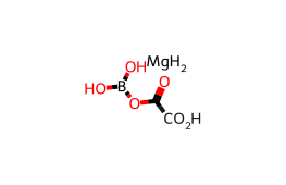 O=C(O)C(=O)OB(O)O.[MgH2]